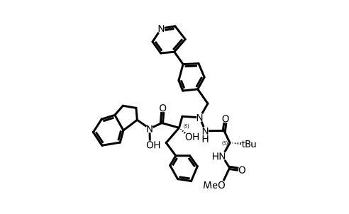 COC(=O)N[C@H](C(=O)NN(Cc1ccc(-c2ccncc2)cc1)C[C@@](O)(Cc1ccccc1)C(=O)N(O)C1CCc2ccccc21)C(C)(C)C